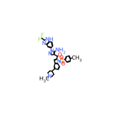 Cc1ccc(S(=O)(=O)n2c(C(=O)c3cnn(-c4ccc5[nH]c(C(F)F)nc5c4)c3N)cc3cc(C4CCN(C)CC4)ccc32)cc1